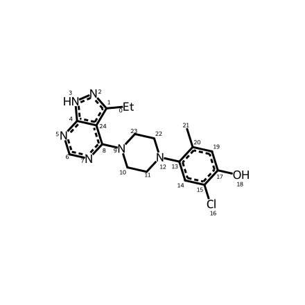 CCc1n[nH]c2ncnc(N3CCN(c4cc(Cl)c(O)cc4C)CC3)c12